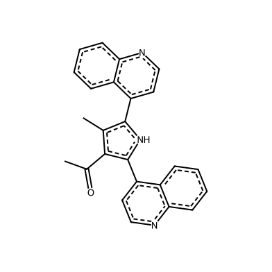 CC(=O)c1c(-c2ccnc3ccccc23)[nH]c(-c2ccnc3ccccc23)c1C